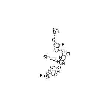 CC(C)(C)[Si](C)(C)OC1CO[C@H]2[C@@H]1OC[C@H]2Oc1nc2cc(Cl)c(NC3CCc4cc(OCCOC(F)(F)F)cc(F)c43)nc2n1COCC[Si](C)(C)C